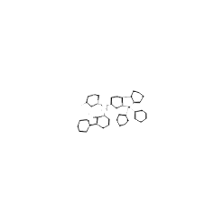 Cc1cccc(N(c2ccc3c(c2)C(c2ccccc2)(c2ccccc2)c2ccccc2-3)c2cccc3c2sc2ccccc23)c1